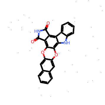 O=c1[nH]c(=O)c2c1c1oc3cc4ccccc4cc3oc1c1[nH]c3ccccc3c12